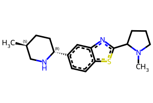 C[C@H]1CC[C@H](c2ccc3sc(C4CCCN4C)nc3c2)NC1